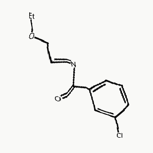 CCOCC=NC(=O)c1cccc(Cl)c1